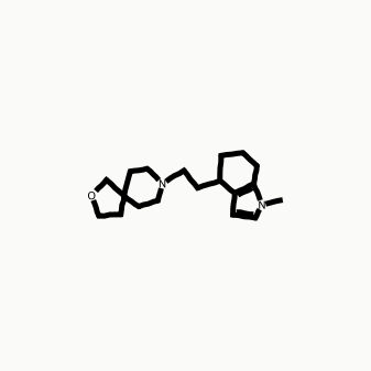 Cn1ccc2c1CCCC2CCN1CCC2(CCOC2)CC1